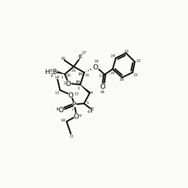 B[C@@H]1O[C@H](CC(F)P(=O)(OCC)OCC)[C@@H](OC(=O)c2ccccc2)C1(C)F